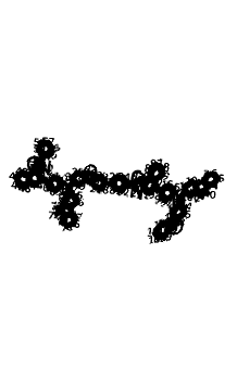 CC1(C)c2ccccc2-c2ccc(N(c3ccc(-c4cc5nc(-c6ccc(-c7ccc8c(c7)oc7ccc(N(c9ccc(-c%10cc%11ccccc%11c%11oc(-c%12ccccc%12)nc%10%11)cc9)c9ccc%10c(c9)C(C)(C)c9ccccc9-%10)cc78)cc6)oc5c5ccccc45)cc3)c3ccc4oc5ccccc5c4c3)cc21